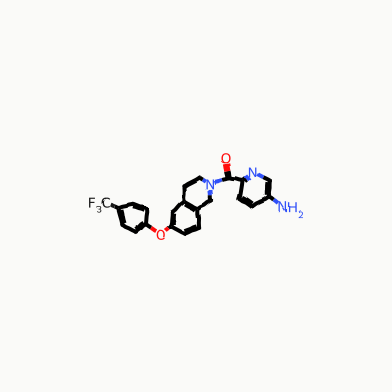 Nc1ccc(C(=O)N2CCc3cc(Oc4ccc(C(F)(F)F)cc4)ccc3C2)nc1